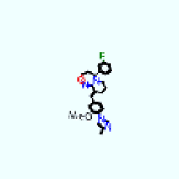 COc1cc(/C=C2\CCCN3C2=NOCC[C@H]3c2cccc(F)c2)ccc1-n1cnc(C)c1